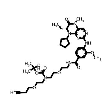 C#CCCOCCN(CCOCCNC(=O)c1ccc(Nc2ncc3c(n2)N(C2CCCC2)[C@H](CC)C(=O)N3C)c(OC)c1)C(=O)OC(C)(C)C